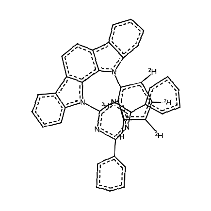 [2H]c1c([2H])c([2H])c(-n2c3ccccc3c3ccc4c5ccccc5n(-c5nc(-c6ccccc6)nc(-c6ccccc6)n5)c4c32)c([2H])c1[2H]